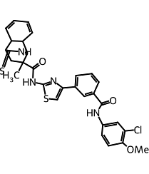 COc1ccc(NC(=O)c2cccc(-c3csc(NC(=O)C4(C)CC5C(=S)NC4C4C=CC=CC54)n3)c2)cc1Cl